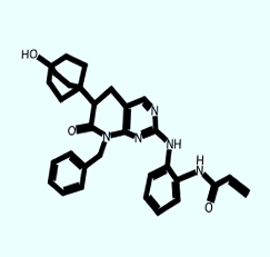 C=CC(=O)Nc1ccccc1Nc1ncc2c(n1)N(Cc1ccccc1)C(=O)C(C13CCC(O)(CC1)CC3)C2